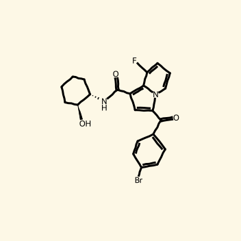 O=C(N[C@H]1CCCC[C@@H]1O)c1cc(C(=O)c2ccc(Br)cc2)n2cccc(F)c12